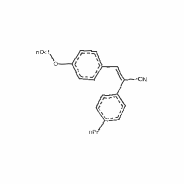 CCCCCCCCOc1ccc(C=C(C#N)c2ccc(CCC)cc2)cc1